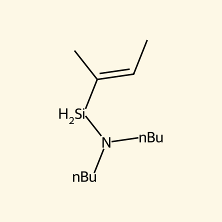 CC=C(C)[SiH2]N(CCCC)CCCC